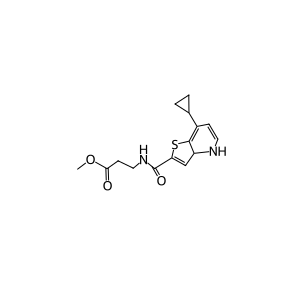 COC(=O)CCNC(=O)C1=CC2NC=CC(C3CC3)=C2S1